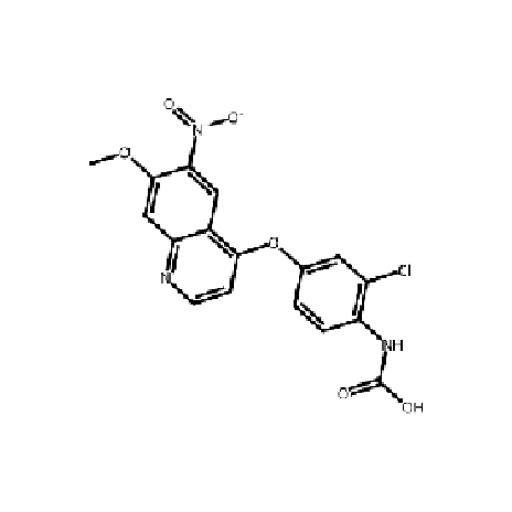 COc1cc2nccc(Oc3ccc(NC(=O)O)c(Cl)c3)c2cc1[N+](=O)[O-]